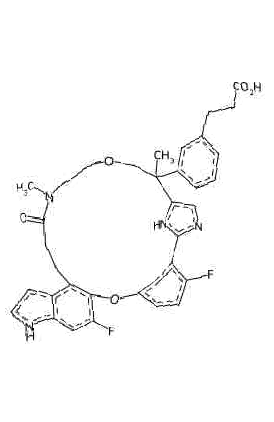 CN1CCOCC(C)(c2cccc(CCC(=O)O)c2)c2cnc([nH]2)-c2cc(ccc2F)Oc2c(F)cc3[nH]ccc3c2CCC1=O